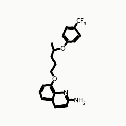 CC(CCCOc1cccc2ccc(N)nc12)Oc1ccc(C(F)(F)F)cc1